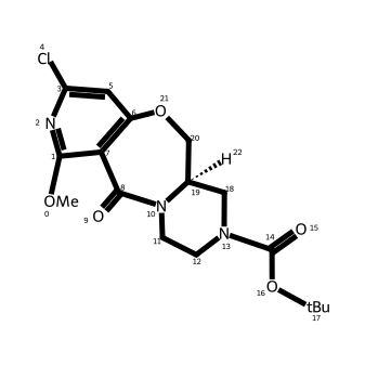 COc1nc(Cl)cc2c1C(=O)N1CCN(C(=O)OC(C)(C)C)C[C@@H]1CO2